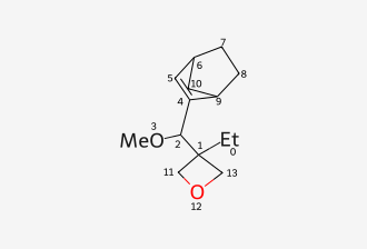 CCC1(C(OC)C2=CC3CCC2C3)COC1